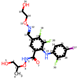 CC(CO)ONC(=O)c1cc(/C=N/OCCO)c(F)c(F)c1Nc1ccc(I)cc1F